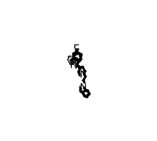 Fc1ccc2c(C3CCN(CCCn4ccc5ccccc54)CC3)noc2c1